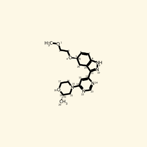 COCCO[C@H]1C=Cc2[nH]nc(-c3cc(N4CCO[C@@H](C)C4)ncn3)c2C1